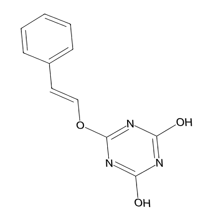 Oc1nc(O)nc(OC=Cc2ccccc2)n1